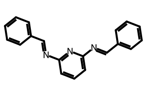 C(=Nc1cccc(N=Cc2ccccc2)n1)c1ccccc1